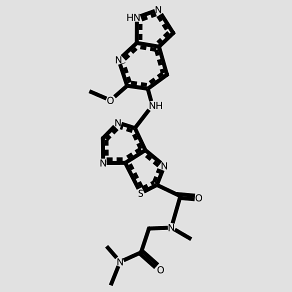 COc1nc2[nH]ncc2cc1Nc1ncnc2sc(C(=O)N(C)CC(=O)N(C)C)nc12